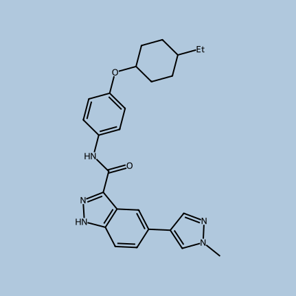 CCC1CCC(Oc2ccc(NC(=O)c3n[nH]c4ccc(-c5cnn(C)c5)cc34)cc2)CC1